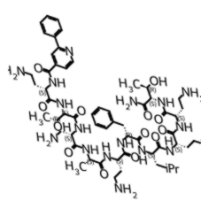 CC(C)C[C@H](NC(=O)[C@@H](Cc1ccccc1)NC(=O)[C@H](CCN)NC(=O)[C@H](C)NC(=O)[C@H](CN)NC(=O)[C@@H](NC(=O)[C@H](CCN)NC(=O)c1ccnc(-c2ccccc2)c1)[C@@H](C)O)C(=O)N[C@@H](CCN)C(=O)N[C@@H](CCN)C(=O)N[C@H](C(N)=O)[C@@H](C)O